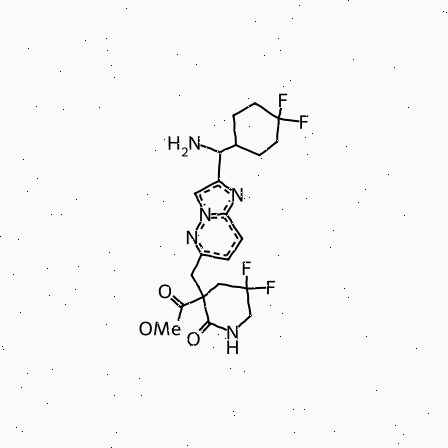 COC(=O)C1(Cc2ccc3nc(C(N)C4CCC(F)(F)CC4)cn3n2)CC(F)(F)CNC1=O